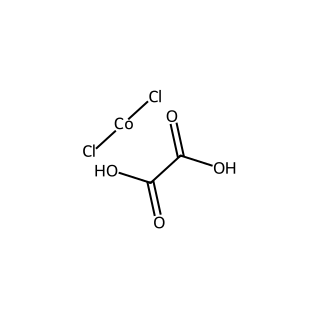 O=C(O)C(=O)O.[Cl][Co][Cl]